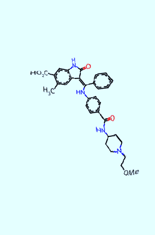 COCCN1CCC(NC(=O)c2ccc(NC(=C3C(=O)Nc4cc(C(=O)O)c(C)cc43)c3ccccc3)cc2)CC1